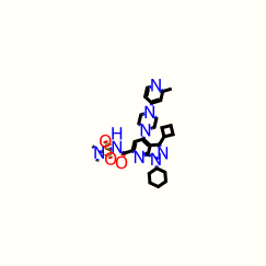 Cc1cc(N2CCN(c3cc(C(=O)NS(=O)(=O)N(C)C)nc4c3c(C3CCC3)nn4C3CCCCC3)CC2)ccn1